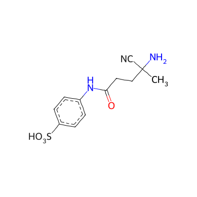 CC(N)(C#N)CCC(=O)Nc1ccc(S(=O)(=O)O)cc1